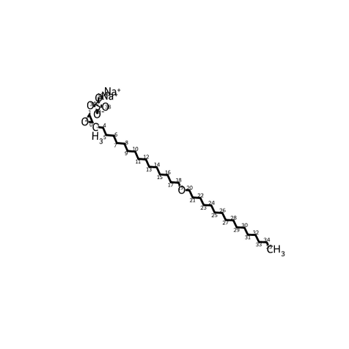 C1CO1.CCCCCCCCCCCCCCCCOCCCCCCCCCCCCCCCC.O=S(=O)([O-])[O-].[Na+].[Na+]